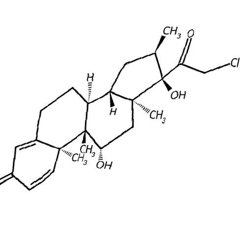 C[C@@H]1C[C@H]2[C@@H]3CCC4=CC(=O)C=C[C@]4(C)[C@@]3(C)[C@@H](O)C[C@]2(C)[C@@]1(O)C(=O)CCl